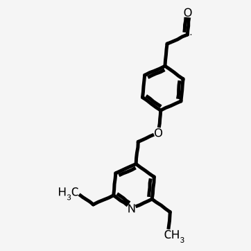 CCc1cc(COc2ccc(C[C]=O)cc2)cc(CC)n1